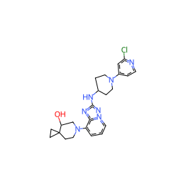 OC1CN(c2cccn3nc(NC4CCN(c5ccnc(Cl)c5)CC4)nc23)CCC12CC2